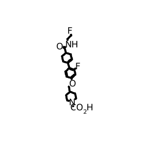 O=C(NCCF)C1CC=C(c2ccc(OCC3CCN(C(=O)O)CC3)cc2F)CC1